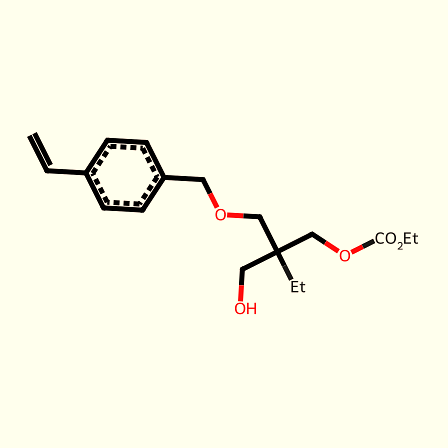 C=Cc1ccc(COCC(CC)(CO)COC(=O)OCC)cc1